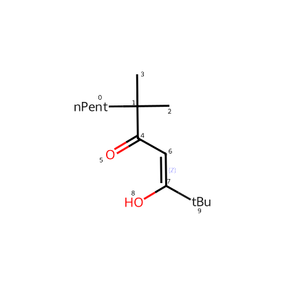 CCCCCC(C)(C)C(=O)/C=C(\O)C(C)(C)C